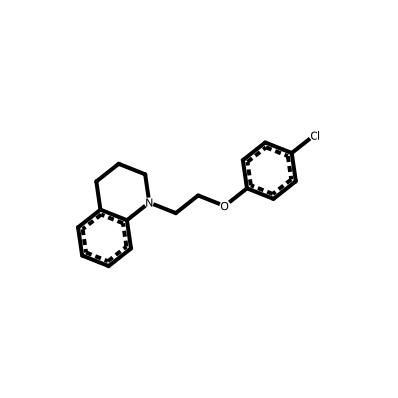 Clc1ccc(OCCN2CCCc3ccccc32)cc1